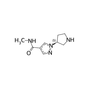 CNC(=O)c1cnn([C@H]2CCNC2)c1